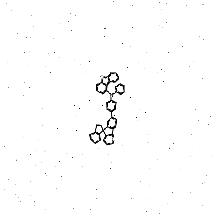 c1ccc(N(c2ccc(-c3ccc4c(c3)C3(CCc5ccccc53)c3ccccc3-4)cc2)c2cccc3oc4ccccc4c23)cc1